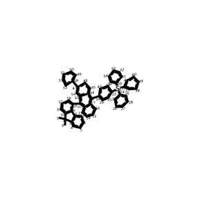 CC1(C)c2ccccc2-c2c(-c3c4ccccc4c(-c4ccc([Si](c5ccccc5)(c5ccccc5)c5ccccc5)cc4)c4ccc(-c5ccccc5)cc34)cccc21